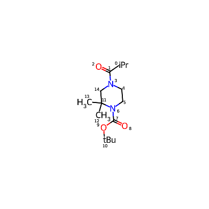 CC(C)C(=O)N1CCN(C(=O)OC(C)(C)C)C(C)(C)C1